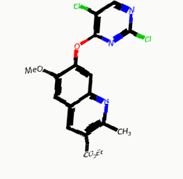 CCOC(=O)c1cc2cc(OC)c(Oc3nc(Cl)ncc3Cl)cc2nc1C